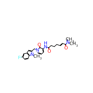 CN(C)C(=O)/C=C/CCCC(=O)Nc1cccn(Cc2cc3cc(F)ccc3n2C)c1=O